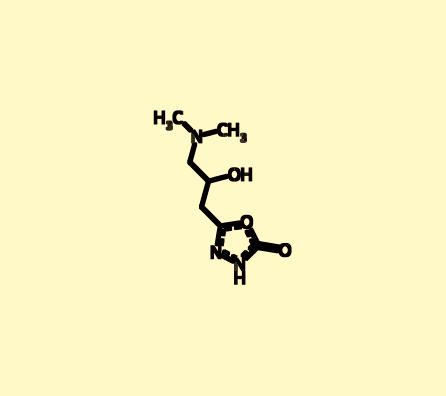 CN(C)CC(O)Cc1n[nH]c(=O)o1